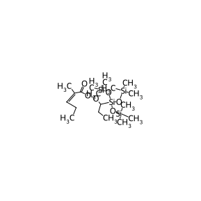 CCC=C(C)C(=O)OOC(CC)[Si](O[Si](C)(C)C)(O[Si](C)(C)C)O[Si](C)(C)C